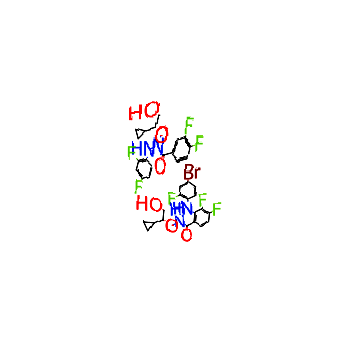 O=C(NOC(CO)C1CC1)c1ccc(F)c(F)c1Nc1ccc(Br)cc1F.O=C(c1ccc(F)c(F)c1)N(Nc1ccc(F)cc1F)OC(CO)C1CC1